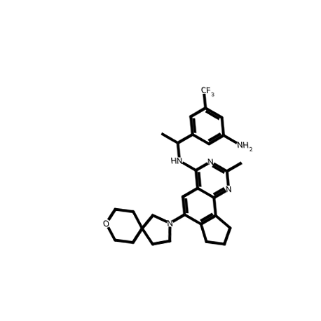 Cc1nc(NC(C)c2cc(N)cc(C(F)(F)F)c2)c2cc(N3CCC4(CCOCC4)C3)c3c(c2n1)CCC3